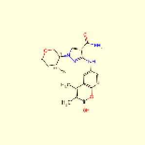 CC1=C(C)c2cc(Nc3nn([C@@H]4COCC[C@H]4C#N)cc3C(N)=O)ccc2OB1O